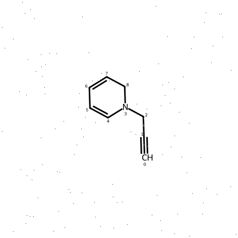 C#CCN1C=CC=CC1